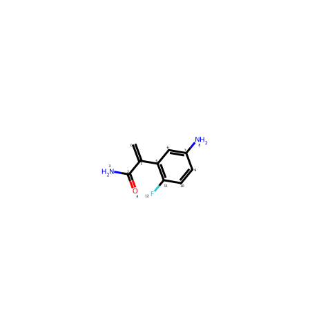 C=C(C(N)=O)c1cc(N)ccc1F